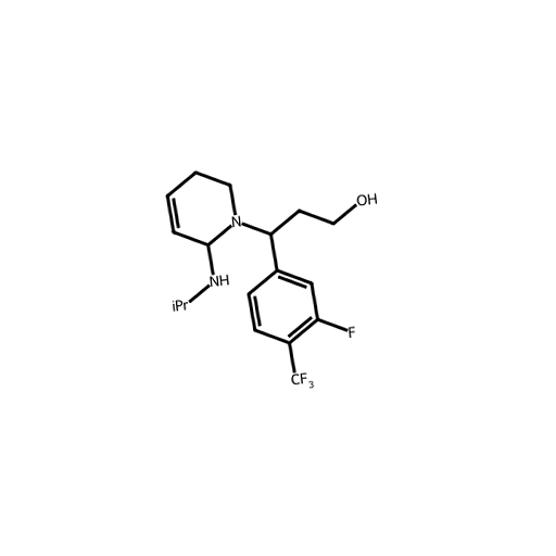 CC(C)NC1C=CCCN1C(CCO)c1ccc(C(F)(F)F)c(F)c1